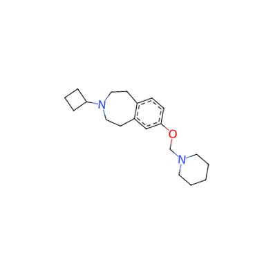 c1cc2c(cc1OCN1CCCCC1)CCN(C1CCC1)CC2